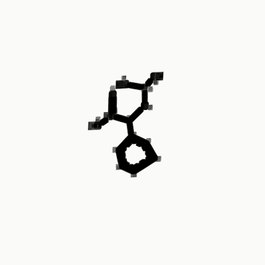 O=[PH](O)C(OP(O)O)c1ccccc1